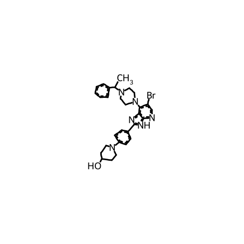 CC(c1ccccc1)N1CCN(c2c(Br)cnc3[nH]c(-c4ccc(N5CCC(O)CC5)cc4)nc23)CC1